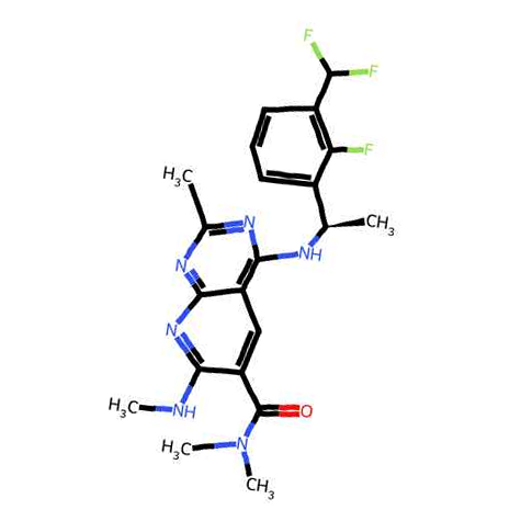 CNc1nc2nc(C)nc(N[C@H](C)c3cccc(C(F)F)c3F)c2cc1C(=O)N(C)C